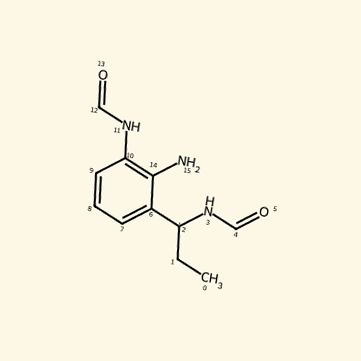 CC[C](NC=O)c1cccc(NC=O)c1N